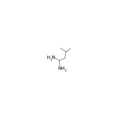 C[C](C)CC(N)N